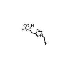 O=C(O)NCCc1cn(CCF)cn1